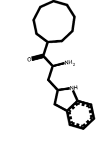 NC(CC1Cc2ccccc2N1)C(=O)C1CCCCCCCC1